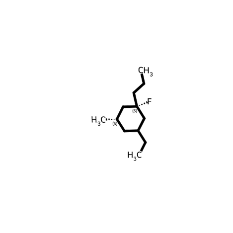 CCC[C@@]1(F)CC(CC)C[C@H](C)C1